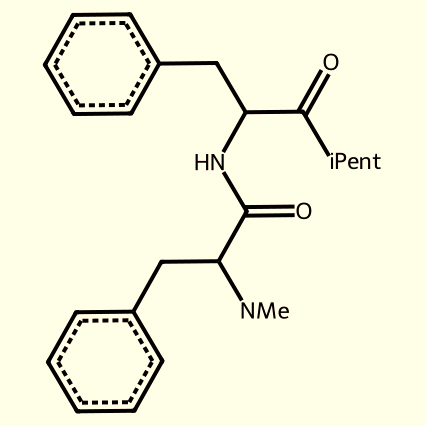 CCCC(C)C(=O)C(Cc1ccccc1)NC(=O)C(Cc1ccccc1)NC